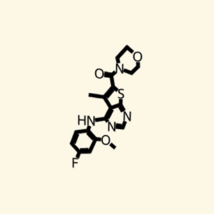 COc1cc(F)ccc1Nc1ncnc2sc(C(=O)N3CCOCC3)c(C)c12